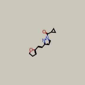 O=C(C1CC1)n1ccc(/C=C/C2=CCCO2)n1